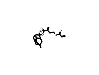 C=CC(=O)OCCC(=C)C(=O)OC1(C(C)C)C2CC3CC1CC(C)(C3)C2